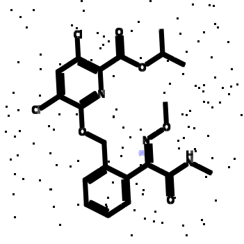 CNC(=O)/C(=N\OC)c1ccccc1COc1nc(C(=O)OC(C)C)c(Cl)cc1Cl